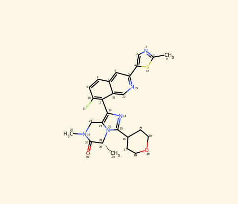 Cc1ncc(-c2cc3ccc(F)c(-c4nc(C5CCOCC5)n5c4CN(C)C(=O)[C@H]5C)c3cn2)s1